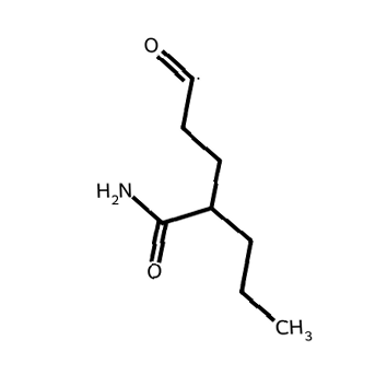 CCCC(CC[C]=O)C(N)=O